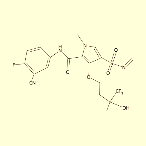 C=NS(=O)(=O)c1cn(C)c(C(=O)Nc2ccc(F)c(C#N)c2)c1OCCC(C)(O)C(F)(F)F